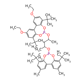 CCOc1cc(C(C)(C)C)c2op(OC(C)CC(C)Op3oc4c(C(C)(C)C)cc(C)cc4c4cc(C)cc(C(C)(C)C)c4o3)oc3c(C(C)(C)C)cc(OCC)cc3c2c1